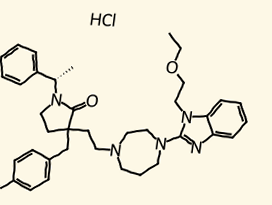 CCOCCn1c(N2CCCN(CCC3(Cc4ccc(F)cc4)CCN([C@@H](C)c4ccccc4)C3=O)CC2)nc2ccccc21.Cl